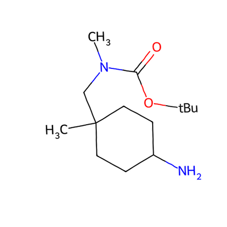 CN(CC1(C)CCC(N)CC1)C(=O)OC(C)(C)C